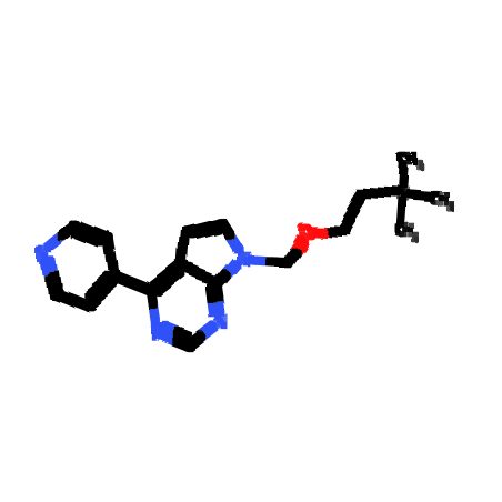 C[Si](C)(C)CCOCn1ccc2c(-c3ccncc3)ncnc21